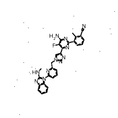 CNc1nc2ccccc2n1-c1cccc(Cn2cc(-c3nc(-c4cccc(C#N)c4C)nc(N)c3F)nn2)n1